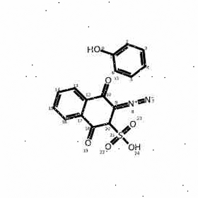 Oc1ccccc1.[N-]=[N+]=C1C(=O)c2ccccc2C(=O)C1S(=O)(=O)O